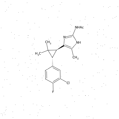 CC(=O)Nc1nc([C@H]2[C@H](c3ccc(F)c(Cl)c3)C2(C)C)c(C)[nH]1